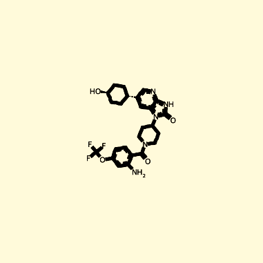 Nc1cc(OC(F)(F)F)ccc1C(=O)N1CCC(n2c(=O)[nH]c3ncc([C@H]4CC[C@H](O)CC4)cc32)CC1